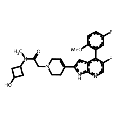 COc1ccc(F)cc1-c1c(F)cnc2[nH]c(C3=CCN(CC(=O)N(C)C4CC(O)C4)CC3)cc12